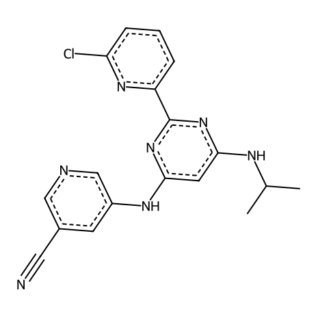 CC(C)Nc1cc(Nc2cncc(C#N)c2)nc(-c2cccc(Cl)n2)n1